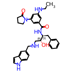 CCNc1cc(C(=O)N[C@@H](Cc2ccccc2)[C@H](O)CNCc2ccc3[nH]ccc3c2)cc(N2CCCC2=O)c1